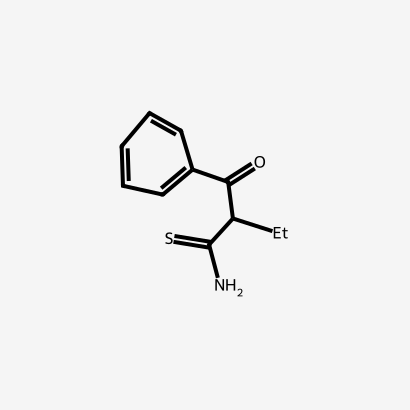 CCC(C(=O)c1ccccc1)C(N)=S